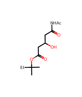 CCC(C)(C)OC(=O)CC(O)CC(=O)NC(C)=O